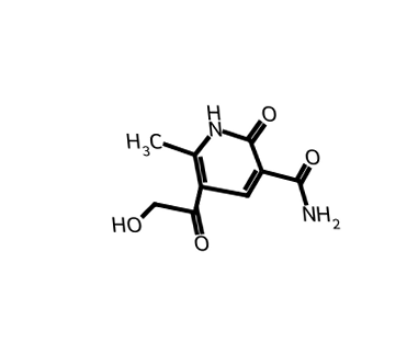 Cc1[nH]c(=O)c(C(N)=O)cc1C(=O)CO